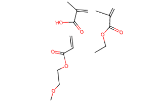 C=C(C)C(=O)O.C=C(C)C(=O)OCC.C=CC(=O)OCCOC